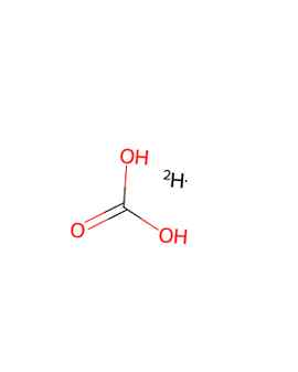 O=C(O)O.[2H]